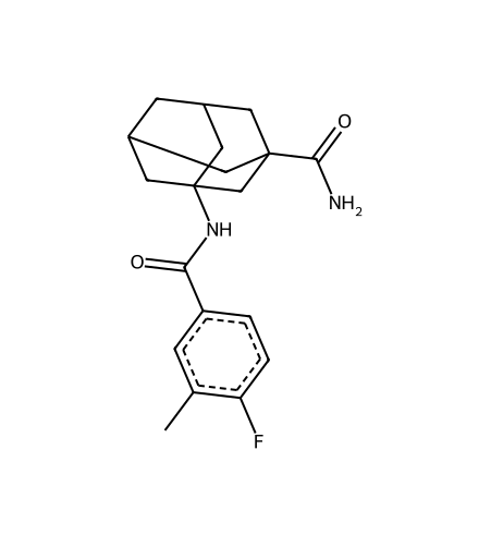 Cc1cc(C(=O)NC23CC4CC(C2)CC(C(N)=O)(C4)C3)ccc1F